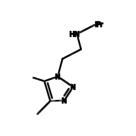 Cc1nnn(CCNC(C)C)c1C